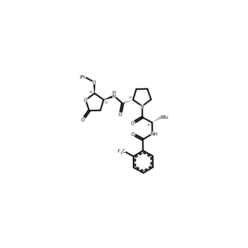 CC(C)O[C@@H]1OC(=O)C[C@@H]1NC(=O)[C@@H]1CCCN1C(=O)[C@@H](NC(=O)c1ccccc1C(F)(F)F)C(C)(C)C